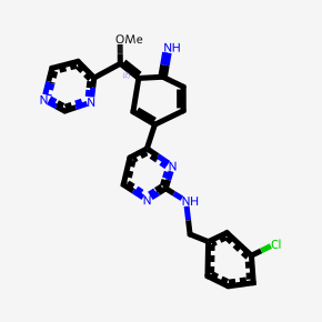 CO/C(=C1/C=C(c2ccnc(NCc3cccc(Cl)c3)n2)C=CC1=N)c1ccncn1